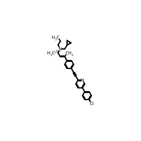 CCCN(CC1CC1)[C@@H](C)C=C(C)c1ccc(C#Cc2ccc(-c3ccc(Cl)cc3)cn2)cc1